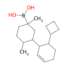 CC1CCC(C)(B(O)O)CC1C1C=CCCC1C1CCC1